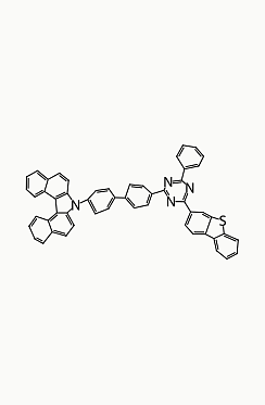 c1ccc(-c2nc(-c3ccc(-c4ccc(-n5c6ccc7ccccc7c6c6c7ccccc7ccc65)cc4)cc3)nc(-c3ccc4c(c3)sc3ccccc34)n2)cc1